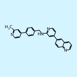 Cc1cc(-c2ccc(CNc3cc(-c4ccc5ncccc5c4)ccn3)cc2)ccn1